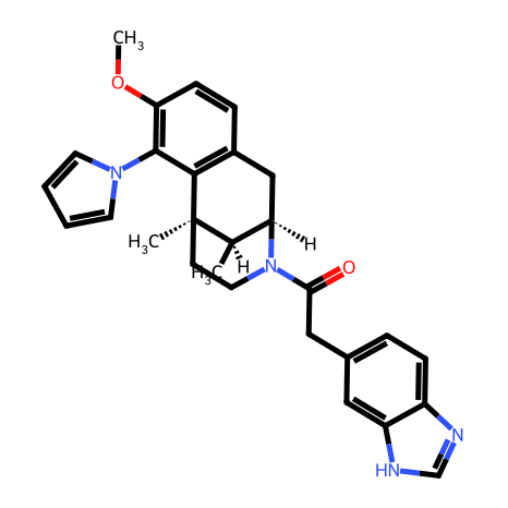 COc1ccc2c(c1-n1cccc1)[C@]1(C)CCN(C(=O)Cc3ccc4nc[nH]c4c3)[C@H](C2)[C@H]1C